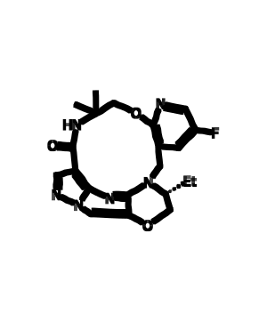 CC[C@@H]1COc2cn3ncc4c3nc2N1Cc1cc(F)cnc1OCC(C)(C)NC4=O